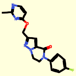 Cc1nccc(OCc2cc3n(n2)CCN(c2ccc(F)cc2)C3=O)n1